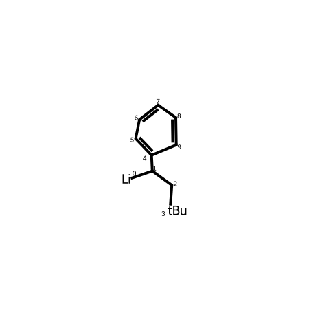 [Li][CH](CC(C)(C)C)c1ccccc1